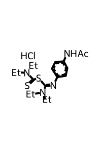 CCN(CC)C(=S)SC(=Nc1ccc(NC(C)=O)cc1)N(CC)CC.Cl